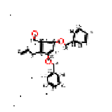 C=CCc1c(C=O)cc(OCc2ccccc2)cc1OCc1ccccc1